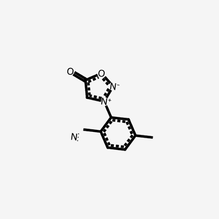 Cc1ccc(C)c(-[n+]2cc(=O)o[n-]2)c1.[N]